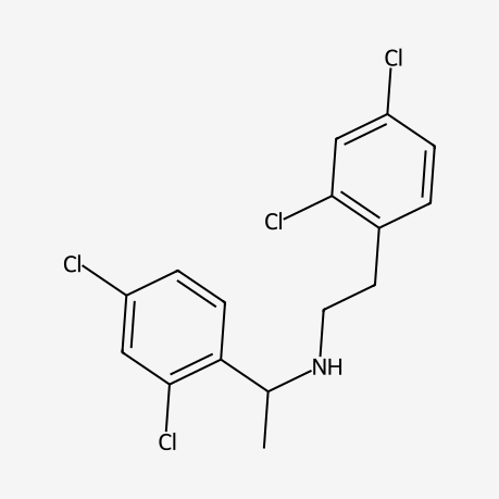 CC(NCCc1ccc(Cl)cc1Cl)c1ccc(Cl)cc1Cl